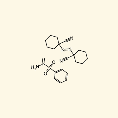 N#CC1(/N=N/C2(C#N)CCCCC2)CCCCC1.NNS(=O)(=O)c1ccccc1